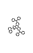 c1ccc(N(c2ccccc2)c2ccc3c4ccc(N(c5ccccc5)c5ccccc5)cc4c4oc(-c5cccc6ccccc56)nc4c3c2)cc1